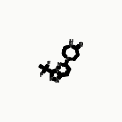 CC(F)(F)c1nnc2ccc(N3CCNC(=O)CC3)nn12